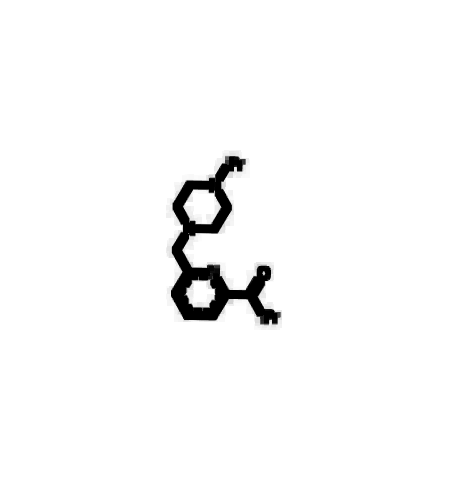 CC(C)C(=O)c1cccc(CN2CCN(C(C)C)CC2)n1